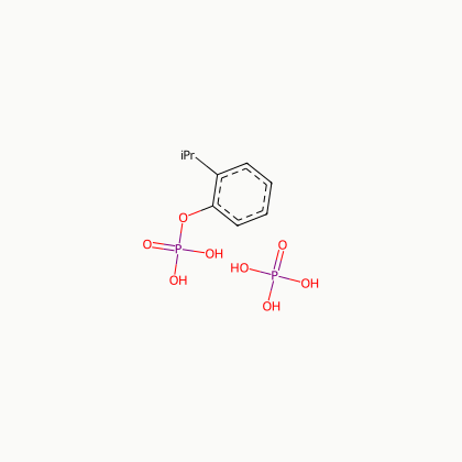 CC(C)c1ccccc1OP(=O)(O)O.O=P(O)(O)O